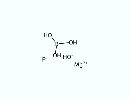 OB(O)O.[F-].[Mg+2].[OH-]